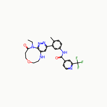 CCN1C(=O)CCOCCNc2cc(-c3cc(NC(=O)c4ccnc(C(F)(F)F)c4)ccc3C)nnc21